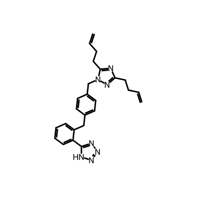 C=CCCc1nc(CCC=C)n(Cc2ccc(Cc3ccccc3-c3nnn[nH]3)cc2)n1